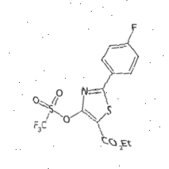 CCOC(=O)c1sc(-c2ccc(F)cc2)nc1OS(=O)(=O)C(F)(F)F